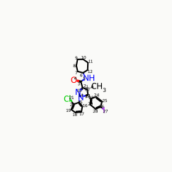 C[C@H]1C(C(=O)NC2CCCCCC2)=NN(c2ccccc2Cl)[C@H]1c1ccc(I)cc1